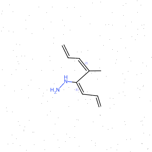 C=C/C=C(C)\C(=C/C=C)NN